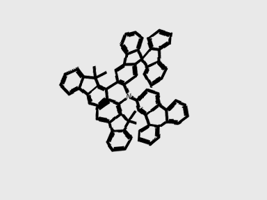 CC1(C)c2ccccc2-c2cccc(-c3cc4c(cc3N(c3ccc5c6ccccc6c6ccccc6c5c3)c3cccc5c3C(C)(C)c3ccccc3-5)C3(c5ccccc5-c5ccccc53)c3ccccc3-4)c21